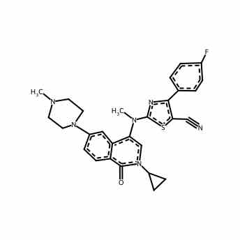 CN1CCN(c2ccc3c(=O)n(C4CC4)cc(N(C)c4nc(-c5ccc(F)cc5)c(C#N)s4)c3c2)CC1